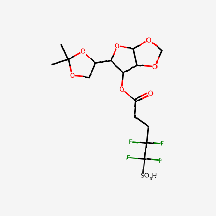 CC1(C)OCC(C2OC3OCOC3C2OC(=O)CCC(F)(F)C(F)(F)S(=O)(=O)O)O1